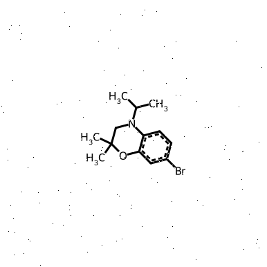 CC(C)N1CC(C)(C)Oc2cc(Br)ccc21